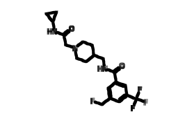 O=C(CN1CCC(CNC(=O)c2cc(CF)cc(C(F)(F)F)c2)CC1)NC1CC1